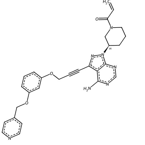 C=CC(=O)N1CCC[C@@H](n2nc(C#CCOc3cccc(OCc4ccncc4)c3)c3c(N)ncnc32)C1